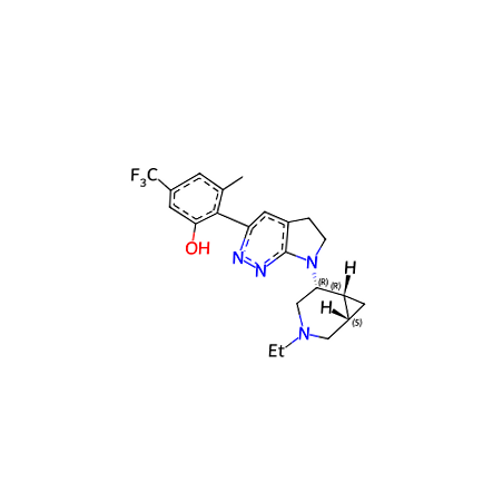 CCN1C[C@H]2C[C@H]2[C@@H](N2CCc3cc(-c4c(C)cc(C(F)(F)F)cc4O)nnc32)C1